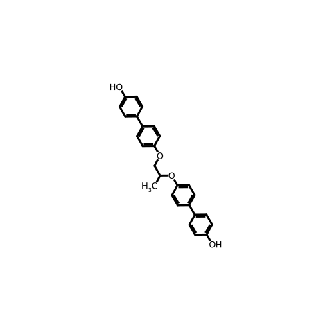 CC(COc1ccc(-c2ccc(O)cc2)cc1)Oc1ccc(-c2ccc(O)cc2)cc1